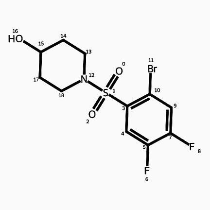 O=S(=O)(c1cc(F)c(F)cc1Br)N1CCC(O)CC1